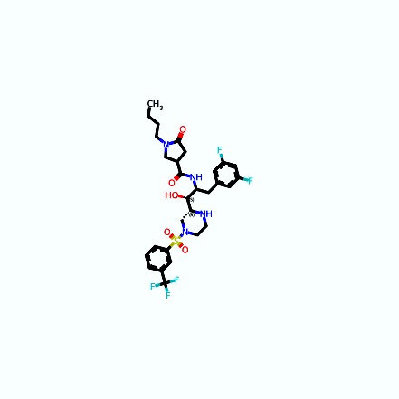 CCCCN1CC(C(=O)NC(Cc2cc(F)cc(F)c2)[C@H](O)[C@H]2CN(S(=O)(=O)c3cccc(C(F)(F)F)c3)CCN2)CC1=O